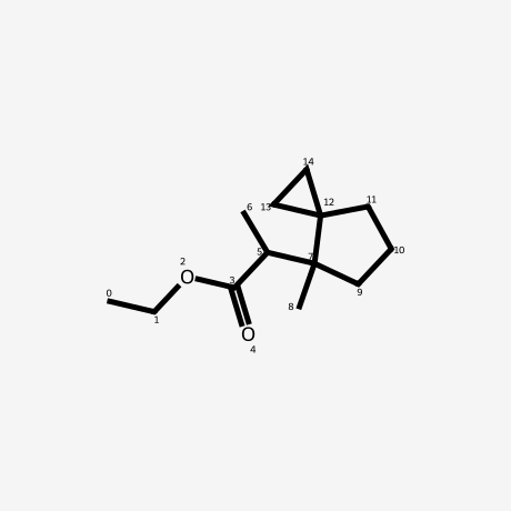 CCOC(=O)C(C)C1(C)CCCC12CC2